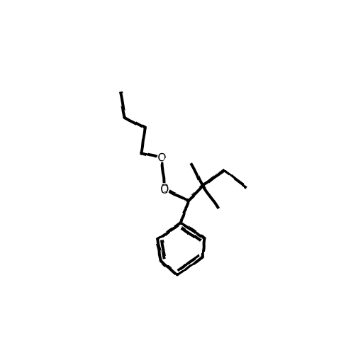 CCCCOOC(c1ccccc1)C(C)(C)CC